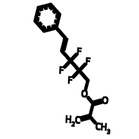 C=C(C)C(=O)OCC(F)(F)C(F)(F)C=Cc1ccccc1